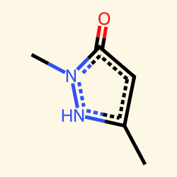 Cc1cc(=O)n(C)[nH]1